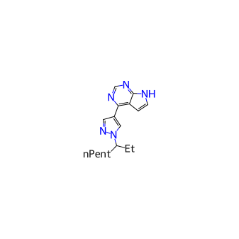 CCCCCC(CC)n1cc(-c2ncnc3[nH]ccc23)cn1